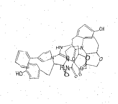 NC(=O)C12C(=O)COC1CCCN2C(=O)C(Cc1ccc(O)cc1)[N+]1(C(=O)NC(Cc2ccc(O)cc2)C(=O)N2CCCC3OCC(=O)C32)C=CC(c2ccccc2)=C1